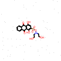 O=C1c2ccccc2C(=O)c2c(O)c(S(=O)(=O)ON(CCO)CCO)cc(O)c21